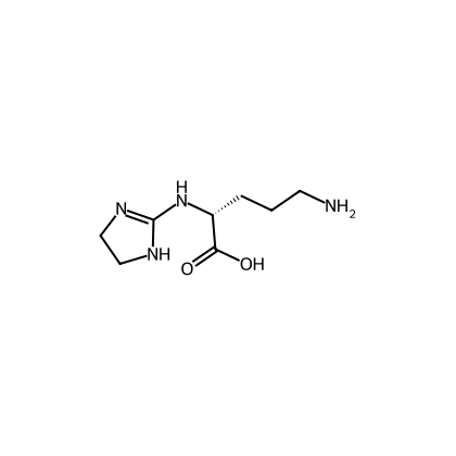 NCCC[C@@H](NC1=NCCN1)C(=O)O